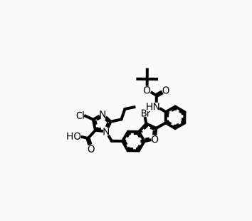 CCCc1nc(Cl)c(C(=O)O)n1Cc1ccc2oc(-c3ccccc3NC(=O)OC(C)(C)C)c(Br)c2c1